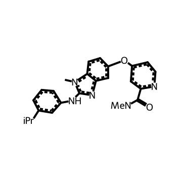 CNC(=O)c1cc(Oc2ccc3c(c2)nc(Nc2cccc(C(C)C)c2)n3C)ccn1